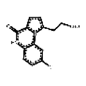 O=CCCc1ccc2c(=O)[nH]c3ccc(Cl)cc3n12